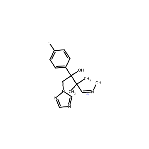 CC(C)(/C=N\O)C(O)(Cn1cncn1)c1ccc(F)cc1